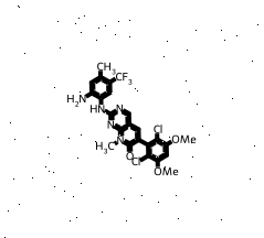 COc1cc(OC)c(Cl)c(-c2cc3cnc(Nc4cc(C(F)(F)F)c(C)cc4N)nc3n(C)c2=O)c1Cl